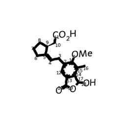 COc1c(CC=C2CCC[C@H]2CC(=O)O)cc2c(c1C)C(O)OC2=O